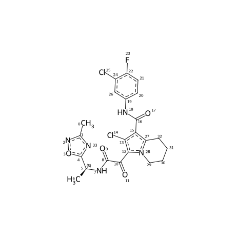 Cc1noc([C@H](C)NC(=O)C(=O)c2c(Cl)c(C(=O)Nc3ccc(F)c(Cl)c3)c3n2CCCC3)n1